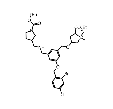 CCOC(=O)C1CC(OCc2cc(CNCC3CCN(C(=O)OC(C)(C)C)C3)cc(OCc3ccc(Cl)cc3Br)c2)C[N+]1(C)C